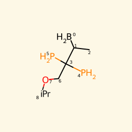 BC(C)C(P)(P)COC(C)C